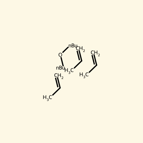 C=CC.C=CC.C=CC.CCCCOCCCC